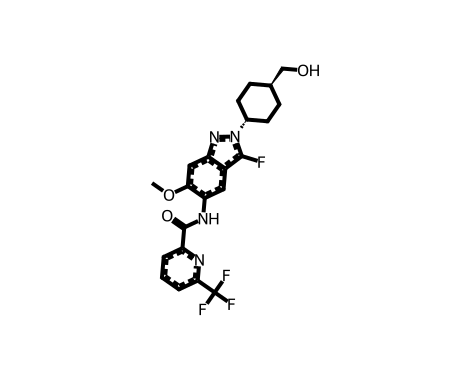 COc1cc2nn([C@H]3CC[C@H](CO)CC3)c(F)c2cc1NC(=O)c1cccc(C(F)(F)F)n1